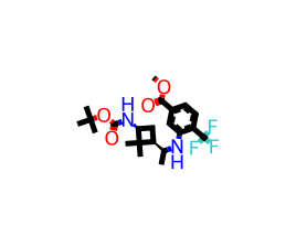 COC(=O)c1ccc(C(F)(F)F)c(NC(C)[C@@H]2C[C@H](NC(=O)OC(C)(C)C)C2(C)C)c1